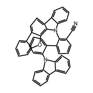 N#Cc1cccc(-c2ccccc2-n2c3ccccc3c3ccccc32)c1-n1c2ccccc2c2ccc3c4ccccc4oc3c21